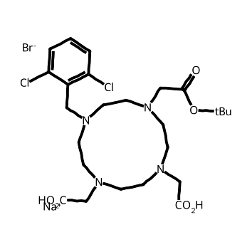 CC(C)(C)OC(=O)CN1CCN(CC(=O)O)CCN(CC(=O)O)CCN(Cc2c(Cl)cccc2Cl)CC1.[Br-].[Na+]